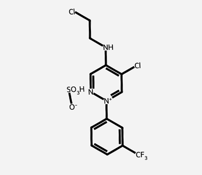 FC(F)(F)c1cccc(-[n+]2cc(Cl)c(NCCCl)cn2)c1.O=S(=O)([O-])O